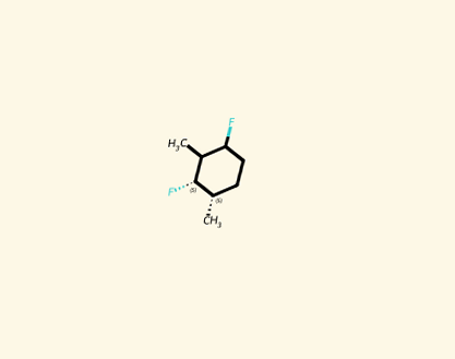 CC1C(F)CC[C@H](C)[C@@H]1F